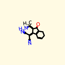 C/C(N)=C1\C(=O)C2=C(C=CCC2)C1=C(C#N)C#N